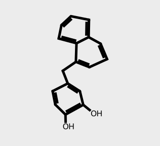 Oc1ccc(Cc2cccc3ccccc23)cc1O